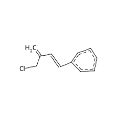 C=C(C=Cc1ccccc1)CCl